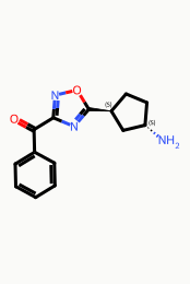 N[C@H]1CC[C@H](c2nc(C(=O)c3ccccc3)no2)C1